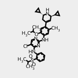 Cc1cc(Nc2ncc(Cl)c(Nc3ccccc3S(=O)(=O)C(C)C)n2)c(OC(C)C)cc1C1=C[C@H](C2CC2)N[C@@H](C2CC2)C1